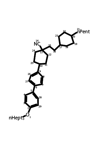 CCCCCCCOc1ccc(-c2ccc(C3CCC(C#N)(CCC4CCC(CCCCC)CC4)CC3)cc2)cc1